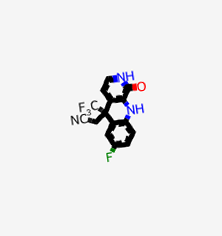 N#CCC1(C(F)(F)F)c2cc(F)ccc2Nc2c1cc[nH]c2=O